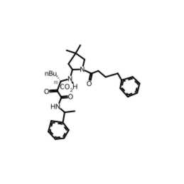 CCCC[C@@H](C(=O)C(=O)NC(C)c1ccccc1)N(C(=O)O)C1CC(C)(C)CN1C(=O)CCCc1ccccc1